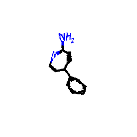 NC1=NC=CC(c2ccccc2)C=C1